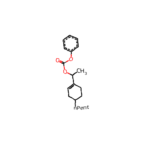 CCCCCC1CC=C(C(C)OC(=O)Oc2ccccc2)CC1